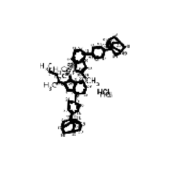 CCCC(C)C1=Cc2c(-c3ccc(C45CC6CC(CC(C6)C4)C5)cc3)cccc2[CH]1[Zr]([CH3])([CH3])(=[SiH2])[CH]1C(CC)=Cc2c(-c3ccc(C45CC6CC(CC(C6)C4)C5)cc3)cccc21.Cl.Cl